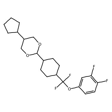 Fc1ccc(OC(F)(F)C2CCC(C3OCC(C4CCCC4)CO3)CC2)cc1F